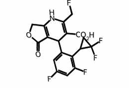 O=C(O)C1=C(CF)NC2=C(C(=O)OC2)C1c1cc(F)cc(F)c1C1CC1(F)F